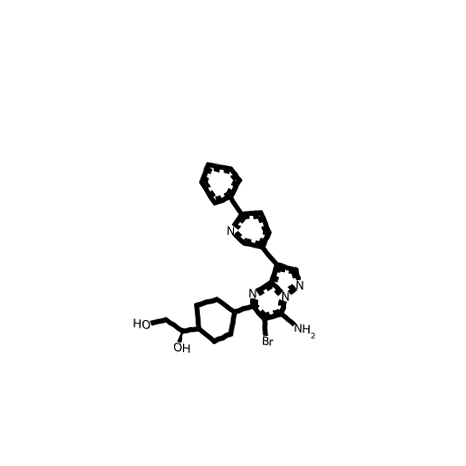 Nc1c(Br)c(C2CCC([C@@H](O)CO)CC2)nc2c(-c3ccc(-c4ccccc4)nc3)cnn12